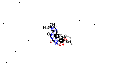 CCCNC(=O)c1nnc(-c2cc(C(C)C)c(OC)cc2O)n1-c1ccc(CN2CCN(C(C)C)CC2)cc1